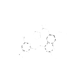 COc1cc2nc(C)nc(NCc3nc(N)cc(C(F)(F)F)n3)c2cc1OC(C)[C@H]1CCOC1